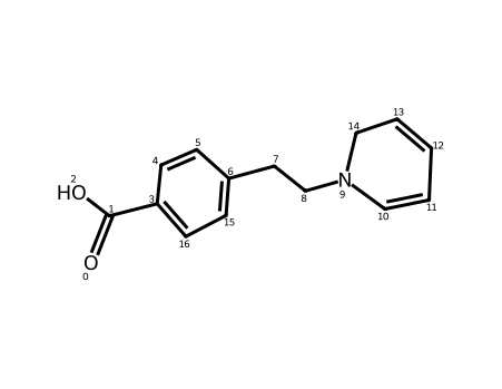 O=C(O)c1ccc(CCN2C=CC=CC2)cc1